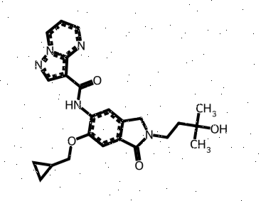 CC(C)(O)CCN1Cc2cc(NC(=O)c3cnn4cccnc34)c(OCC3CC3)cc2C1=O